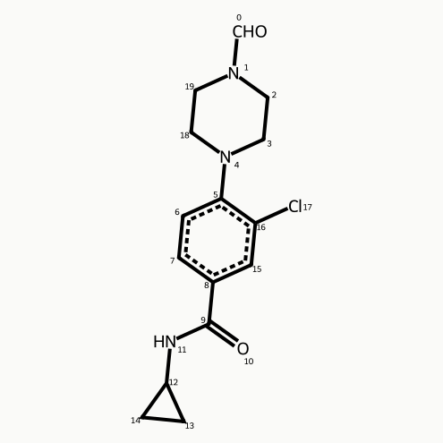 O=CN1CCN(c2ccc(C(=O)NC3CC3)cc2Cl)CC1